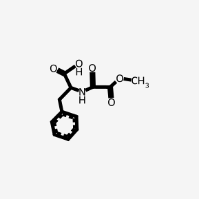 COC(=O)C(=O)NC(Cc1ccccc1)C(=O)O